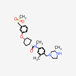 Cc1cc(N(C)C(=O)[C@H]2CC[C@H](Oc3cccc(CS(C)(=O)=O)c3)CC2)ccc1CN1CCN[C@@H](C)C1